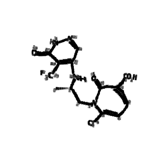 C[C@@H](Cn1c(Cl)ccc(C(=O)O)c1=O)Nc1cn[nH]c(=O)c1C(F)(F)F